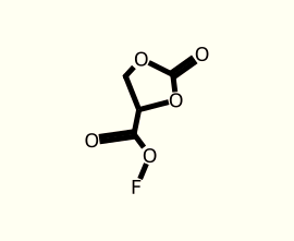 O=C1OCC(C(=O)OF)O1